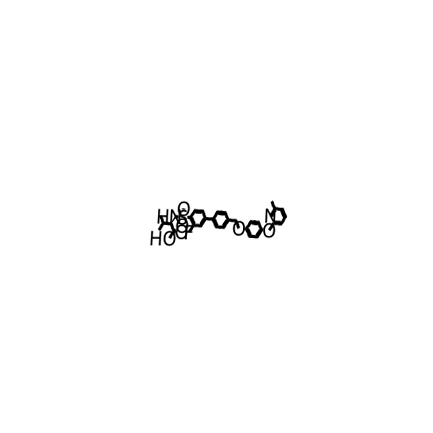 Cc1cccc(Oc2ccc(OCc3ccc(-c4ccc(S(=O)(=O)N[C@@H](C(=O)O)C(C)C)c(F)c4)cc3)cc2)n1